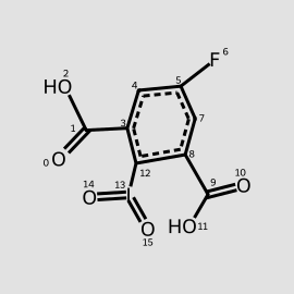 O=C(O)c1cc(F)cc(C(=O)O)c1I(=O)=O